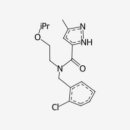 Cc1cc(C(=O)N(CCOC(C)C)Cc2ccccc2Cl)[nH]n1